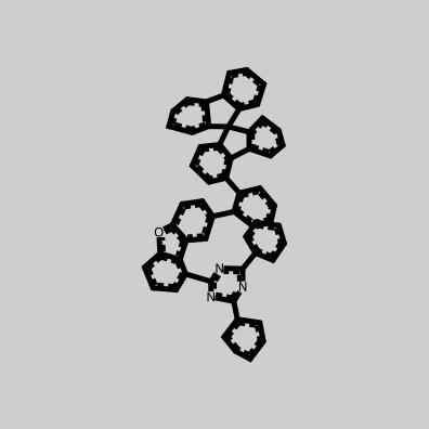 c1ccc(-c2nc(-c3ccccc3)nc(-c3cccc4oc5ccc(-c6ccccc6-c6cccc7c6-c6ccccc6C76c7ccccc7-c7ccccc76)cc5c34)n2)cc1